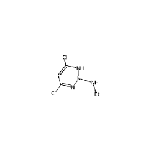 CCNN1N=C(Cl)C=C(Cl)N1